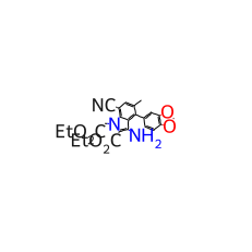 CCOC(=O)Cn1c(C(=O)OCC)c(N)c2c(-c3ccc4c(c3)OCO4)c(C)cc(C#N)c21